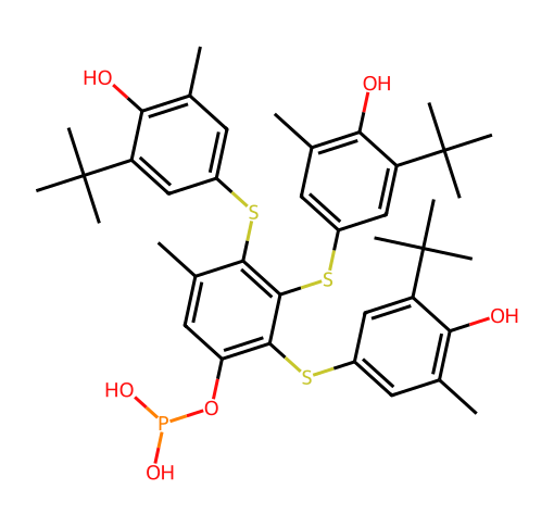 Cc1cc(Sc2c(C)cc(OP(O)O)c(Sc3cc(C)c(O)c(C(C)(C)C)c3)c2Sc2cc(C)c(O)c(C(C)(C)C)c2)cc(C(C)(C)C)c1O